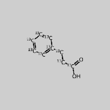 O=[13C](O)[13CH2][13CH2][13c]1[13cH][13cH][13cH][13cH][13cH]1